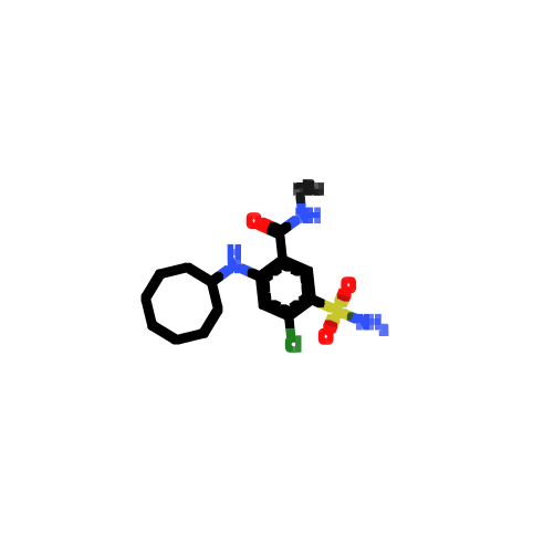 CCCCNC(=O)c1cc(S(N)(=O)=O)c(Cl)cc1NC1CCCCCCC1